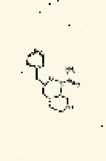 NC(=O)N1OC(Cc2ccncc2)CN2CCNCC21